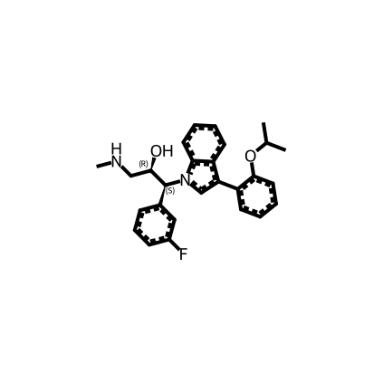 CNC[C@@H](O)[C@H](c1cccc(F)c1)n1cc(-c2ccccc2OC(C)C)c2ccccc21